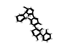 Cc1cc2c3ccc(C)c4c5ccccc5n(c2cc1-c1ccc(C)c(-c2ccccc2C)c1C)c34